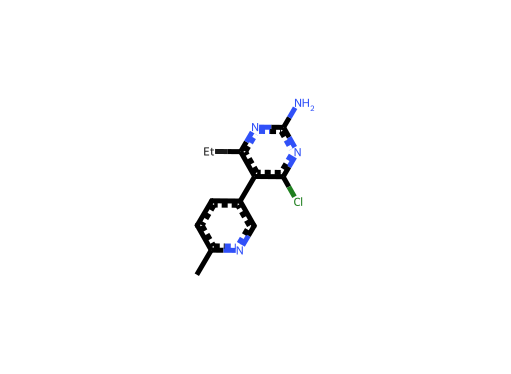 CCc1nc(N)nc(Cl)c1-c1ccc(C)nc1